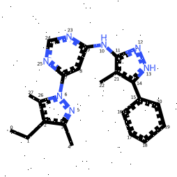 [CH2]Cc1c(C)nn(-c2cc(Nc3n[nH]c(-c4ccccc4)c3C)ncn2)c1C